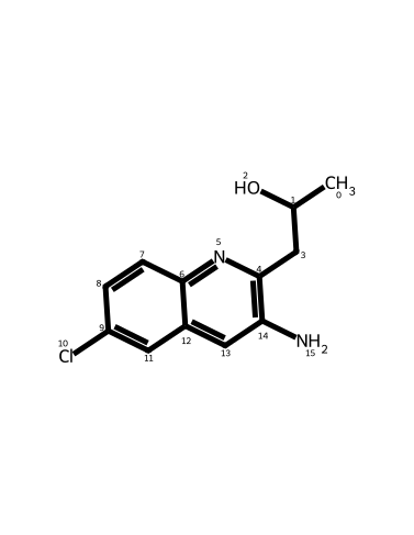 CC(O)Cc1nc2ccc(Cl)cc2cc1N